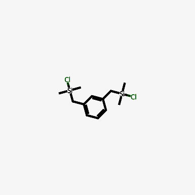 C[Si](C)(Cl)Cc1cccc(C[Si](C)(C)Cl)c1